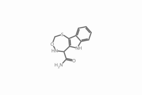 NC(=O)C1NOCSc2c1[nH]c1ccccc21